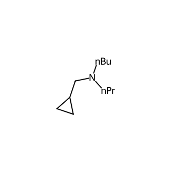 CCCCN(CCC)CC1CC1